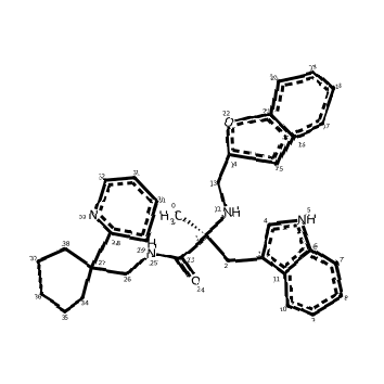 C[C@@](Cc1c[nH]c2ccccc12)(NCc1cc2ccccc2o1)C(=O)NCC1(c2ccccn2)CCCCC1